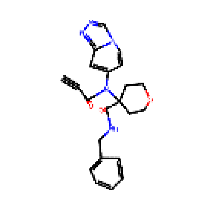 C#CC(=O)N(c1ccn2cnnc2c1)C1(C(=O)NCc2ccccc2)CCOCC1